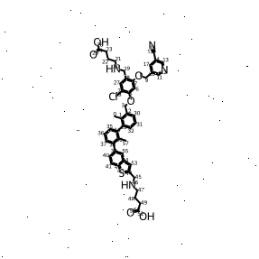 Cc1c(COc2cc(OCc3cncc(C#N)c3)c(CNCCCC(=O)O)cc2Cl)cccc1-c1cccc(-c2ccc3sc(CNCCCC(=O)O)cc3c2)c1C